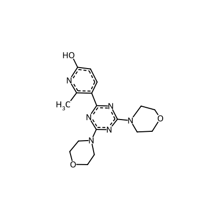 Cc1nc(O)ccc1-c1nc(N2CCOCC2)nc(N2CCOCC2)n1